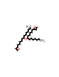 CCCCCCCC(CCCCCC1CCO1)OC(CCCCCCC)CCCCCC1CCO1